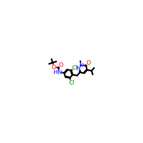 CC(C)c1cc(Cc2c(Cl)cc(NC(=O)OC(C)(C)C)cc2Cl)nn(C)c1=O